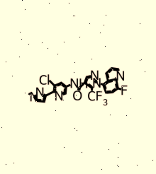 Cn1ccc(-c2ncc(NC(=O)c3cnn(-c4ccc(F)c5ncccc45)c3C(F)(F)F)cc2Cl)n1